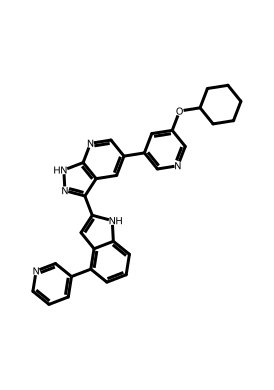 c1cncc(-c2cccc3[nH]c(-c4n[nH]c5ncc(-c6cncc(OC7CCCCC7)c6)cc45)cc23)c1